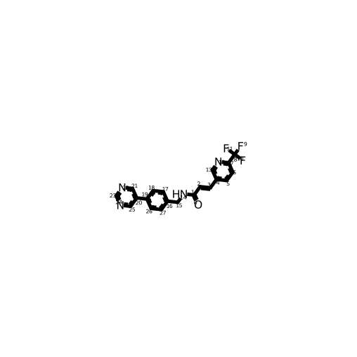 O=C(/C=C/c1ccc(C(F)(F)F)nc1)NCc1ccc(-c2cncnc2)cc1